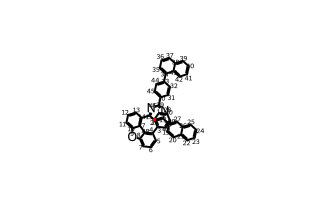 c1ccc(-c2cccc3oc4cccc(-c5cc(-c6ccc7ccccc7c6)nc(-c6ccc(-c7cccc8ccccc78)cc6)n5)c4c23)cc1